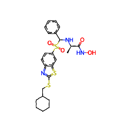 C[C@@H](NC(c1ccccc1)S(=O)(=O)c1ccc2nc(SCC3CCCCC3)sc2c1)C(=O)NO